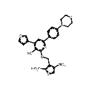 N#Cc1c(-c2ccoc2)cc(-c2ccc(N3CCOCC3)cc2)nc1OCc1c([N+](=O)[O-])csc1C(=O)O